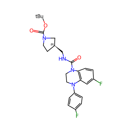 CC(C)(C)OC(=O)N1CC[C@H](CNC(=O)N2CCN(c3ccc(F)cc3)c3cc(F)ccc32)C1